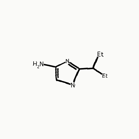 CCC(CC)C1=NC(N)=C[N]1